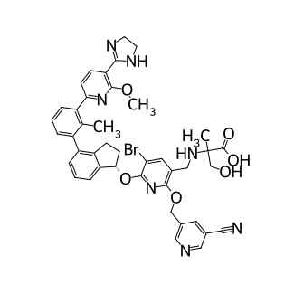 COc1nc(-c2cccc(-c3cccc4c3CC[C@@H]4Oc3nc(OCc4cncc(C#N)c4)c(CNC(C)(CO)C(=O)O)cc3Br)c2C)ccc1C1=NCCN1